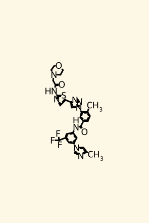 Cc1cn(-c2cc(NC(=O)c3ccc(C)c(-n4cc(-c5cnc(NC(=O)CN6CCOCC6)s5)nn4)c3)cc(C(F)(F)F)c2)cn1